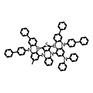 Cc1cc2c3c(c1)N1c4ccccc4N4c5cc(N(c6ccccc6)c6ccccc6)cc6c5B(c5ccc(-c7ccccc7)cc5N6c5ccc(-c6ccccc6)cc5)c5sc(c1c54)B3c1ccc(-c3ccccc3)cc1N2c1ccc(-c2ccccc2)cc1